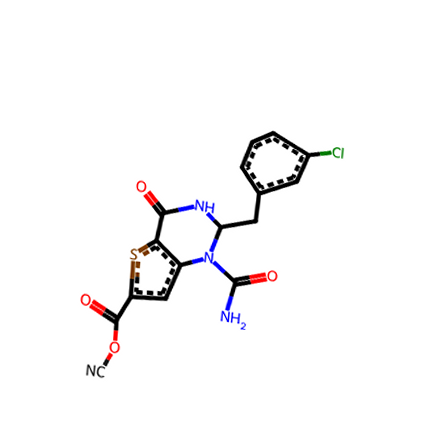 N#COC(=O)c1cc2c(s1)C(=O)NC(Cc1cccc(Cl)c1)N2C(N)=O